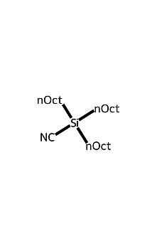 CCCCCCCC[Si](C#N)(CCCCCCCC)CCCCCCCC